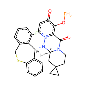 O=C1c2c(OP)c(=O)ccn2N([C@@H]2c3ccccc3SCc3cccc(F)c32)[C@@H]2CC3(CCN12)CC3